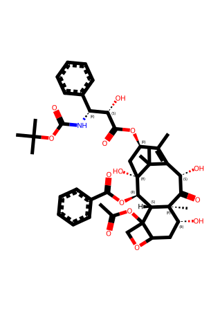 CC(=O)OC12COC1C[C@@H](O)[C@]1(C)C(=O)[C@@H](O)C3=C(C)[C@H](OC(=O)[C@@H](O)[C@H](NC(=O)OC(C)(C)C)c4ccccc4)C[C@](O)([C@H](OC(=O)c4ccccc4)[C@@H]21)C3(C)C